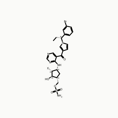 CC[C@H](c1cccc(Br)c1)n1ccc(C(=O)c2cncnc2N[C@@H]2C[C@H](COS(N)(=O)=O)[C@@H](O)[C@@H]2F)c1